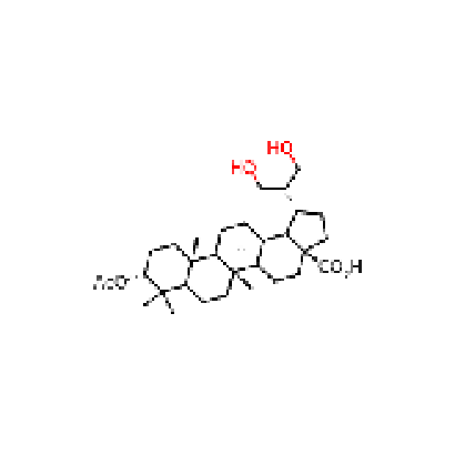 CC(=O)O[C@@H]1CC[C@@]2(C)C(CC[C@]3(C)C2CCC2C4[C@H](C(CO)CO)CC[C@]4(C(=O)O)CC[C@]23C)C1(C)C